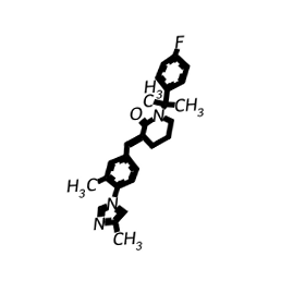 Cc1cn(-c2ccc(/C=C3\CCCN(C(C)(C)c4ccc(F)cc4)C3=O)cc2C)cn1